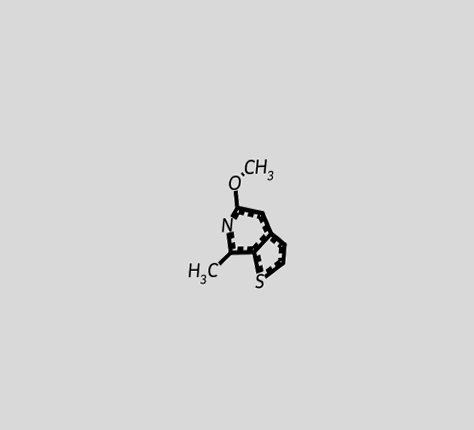 COc1cc2ccsc2c(C)n1